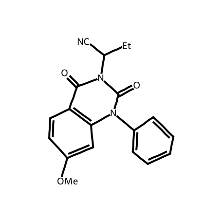 CCC(C#N)n1c(=O)c2ccc(OC)cc2n(-c2ccccc2)c1=O